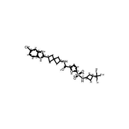 O=C(NC1CC2(C1)CC(c1nc3cc(Cl)ccc3s1)C2)c1ccc(S(=O)(=O)NC2CC(C(F)(F)F)C2)o1